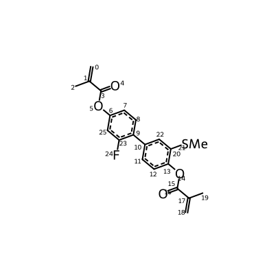 C=C(C)C(=O)Oc1ccc(-c2ccc(OC(=O)C(=C)C)c(SC)c2)c(F)c1